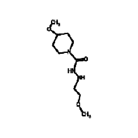 COCCNNC(=O)N1CCC(OC)CC1